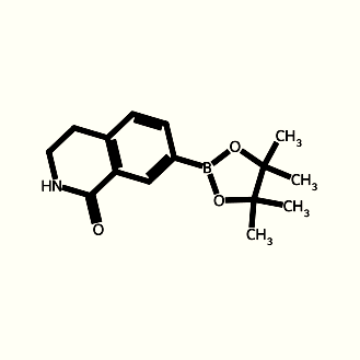 CC1(C)OB(c2ccc3c(c2)C(=O)NCC3)OC1(C)C